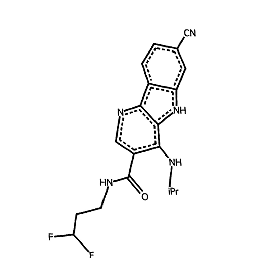 CC(C)Nc1c(C(=O)NCCC(F)F)cnc2c1[nH]c1cc(C#N)ccc12